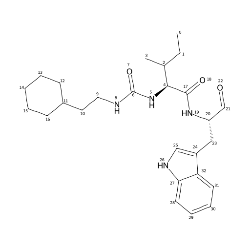 CCC(C)[C@H](NC(=O)NCCC1CCCCC1)C(=O)N[C@H](C=O)Cc1c[nH]c2ccccc12